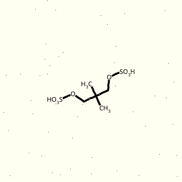 CC(C)(COS(=O)(=O)O)COS(=O)(=O)O